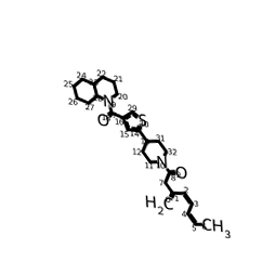 C=C(/C=C\C=C/C)CC(=O)N1CCC(c2cc(C(=O)N3CCCC4CCCCC43)cs2)CC1